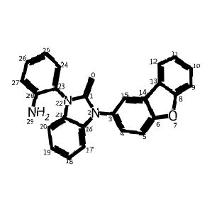 C=C1N(c2ccc3oc4ccccc4c3c2)c2ccccc2N1c1ccccc1N